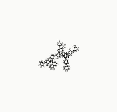 CC1(C)c2ccccc2-c2cc3c4cc(-c5cccc(N(c6ccc(-c7ccccc7)cc6)c6cccc7ccccc67)c5)ccc4n(-c4nc(-c5ccc(-c6ccccc6)cc5)nc(-c5ccc(-c6ccccc6)cc5)n4)c3cc21